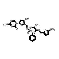 C[C@H](N[P@](=O)(OC[C@H]1S[C@@H](n2cnc(N)nc2=O)C[C@@H]1O)Oc1ccccc1)C(=O)OCc1ccc([N+](=O)[O-])o1